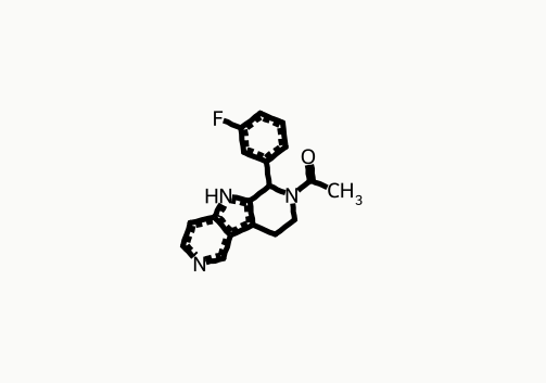 CC(=O)N1CCc2c([nH]c3ccncc23)C1c1cccc(F)c1